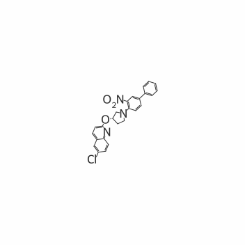 O=[N+]([O-])c1cc(-c2ccccc2)ccc1N1CC[C@H](Oc2ccc3cc(Cl)ccc3n2)C1